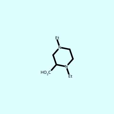 CCN1CCN(CC)C(C(=O)O)C1